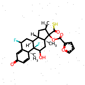 CC1C[C@H]2[C@@H]3CC(F)C4=CC(=O)C=C[C@]4(C)[C@@]3(F)C(O)C[C@]2(C)C1(OC(=O)c1ccco1)C(=O)S